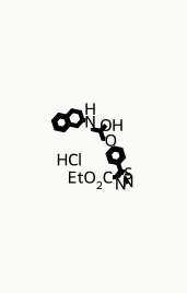 CCOC(=O)c1nnsc1-c1ccc(OCC(O)CNC2CCc3ccccc3C2)cc1.Cl